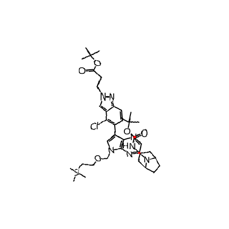 CC(C)(C)OC(=O)CCn1cc2c(Cl)c(-c3cn(COCC[Si](C)(C)C)c4nc(N5C6CCC5CC(NC(=O)OC(C)(C)C)C6)cnc34)ccc2n1